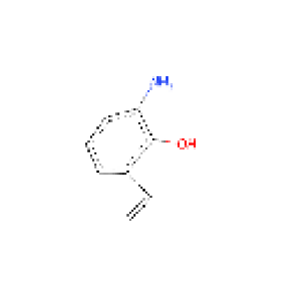 C=Cc1cccc(N)c1O